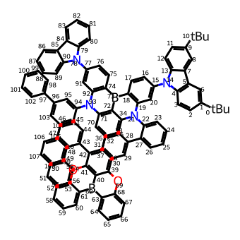 CC(C)(C)c1ccc2c(c1)c1cc(C(C)(C)C)ccc1n2-c1ccc2c(c1)N(c1ccccc1-c1ccccc1)c1cc(-c3cc4c5c(c3-c3ccccc3-c3ccccc3)Oc3ccccc3B5c3ccccc3O4)cc3c1B2c1ccc(-n2c4ccccc4c4ccccc42)cc1N3c1cc(-c2ccccc2)cc(-c2ccccc2)c1